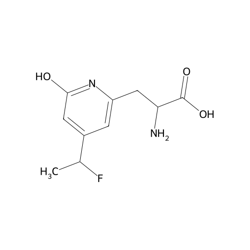 CC(F)c1cc(O)nc(CC(N)C(=O)O)c1